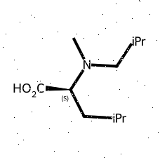 CC(C)C[C@@H](C(=O)O)N(C)CC(C)C